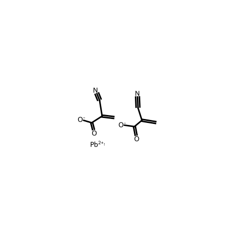 C=C(C#N)C(=O)[O-].C=C(C#N)C(=O)[O-].[Pb+2]